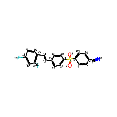 N#Cc1ccc(S(=O)(=O)c2ccc(C=Cc3ccc(F)cc3F)cc2)cc1